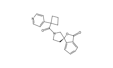 O=C1O[C@]2(CCN(C(=O)C3(c4ccncc4)CCC3)C2)c2ccccc21